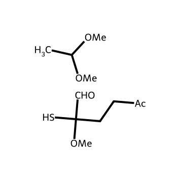 COC(C)OC.COC(S)(C=O)CCC(C)=O